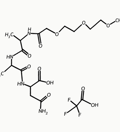 COCCOCCOCC(=O)NC(C)C(=O)NC(C)C(=O)NC(CC(N)=O)C(=O)O.O=C(O)C(F)(F)F